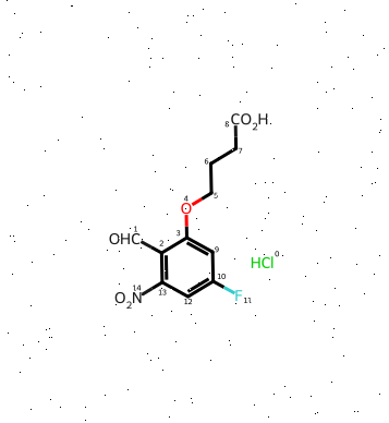 Cl.O=Cc1c(OCCCC(=O)O)cc(F)cc1[N+](=O)[O-]